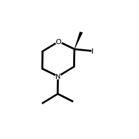 CC(C)N1CCO[C@](C)(I)C1